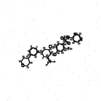 CN(C)[C@H]1C[C@@H](c2cccc(C3CCOCC3)c2)CC[C@@H]1Oc1cc(F)c(S(=O)(=O)Nc2ccncn2)cc1Cl